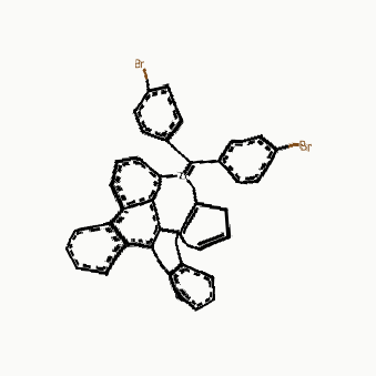 Brc1ccc([C](c2ccc(Br)cc2)=[Zr]([C]2=CC=CC2)[c]2cccc3c2c2c(c4ccccc43)-c3ccccc3C2)cc1